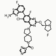 Nc1nc2c(-c3c(Cl)cc4c(N5CCC6(CCN(C(=O)n7cncn7)CC6)C5)nc(OC[C@@]56CCCN5C[C@H](F)C6)nc4c3F)ccc(F)c2s1